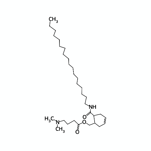 CCCCCCCCCCCCCCCCCCNC(=O)C1CC=CCC1COC(=O)CCCN(C)C